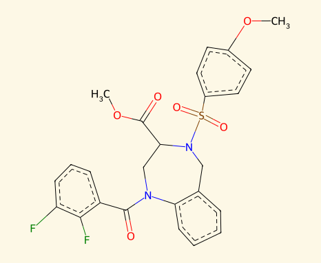 COC(=O)C1CN(C(=O)c2cccc(F)c2F)c2ccccc2CN1S(=O)(=O)c1ccc(OC)cc1